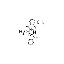 CCc1cccc(C)c1Nc1nc(C)nc(Nc2ccccc2)n1